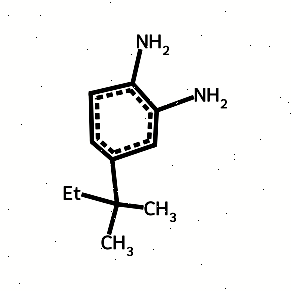 CCC(C)(C)c1ccc(N)c(N)c1